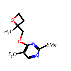 CSc1ncc(C(F)(F)F)c(OCC2(C)CCO2)n1